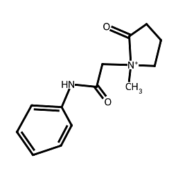 C[N+]1(CC(=O)Nc2ccccc2)CCCC1=O